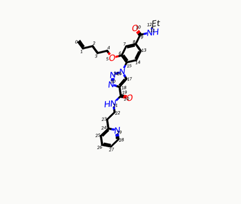 C=CCCCOc1cc(C(=O)NCC)ccc1-n1cc(C(=O)NCCc2ccccn2)nn1